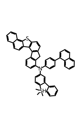 C[SH]1(C)(C)c2ccccc2-c2cc(N(c3ccc(-c4cccc5ccccc45)cc3)c3cccc4c3Cc3ccc5sc6c7ccccc7ccc6c5c3-4)ccc21